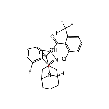 O=C(O)C1CC2CCC[C@@H](C1)N2c1nn(C(=O)c2c(Cl)cccc2C(F)(F)F)c2cccc(F)c12